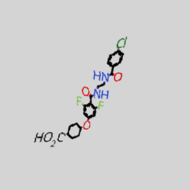 O=C(NCCNC(=O)c1c(F)cc(O[C@H]2CC[C@@H](C(=O)O)CC2)cc1F)c1ccc(Cl)cc1